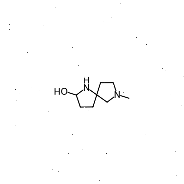 CN1CCC2(CCC(O)N2)C1